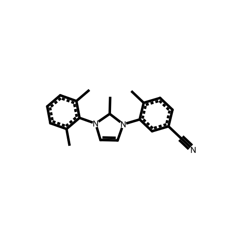 Cc1ccc(C#N)cc1N1C=CN(c2c(C)cccc2C)C1C